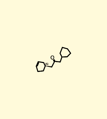 O=C(CC1CCCCC1)C[C@@H]1CC=CCC1